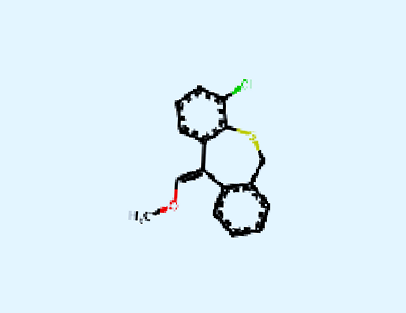 CO/C=C1\c2ccccc2CSc2c(Cl)cccc21